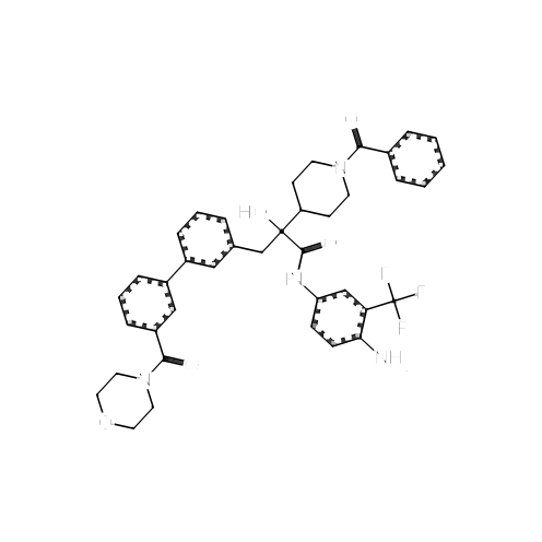 Nc1ccc(NC(=O)C(O)(Cc2cccc(-c3cccc(C(=O)N4CCOCC4)c3)c2)C2CCN(C(=O)c3ccccc3)CC2)cc1C(F)(F)F